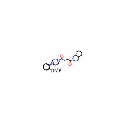 COc1ccccc1N1CCN(C(=O)CCC(=O)N2CCC3CCCCC3C2)CC1